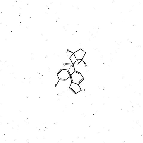 O=C(c1ccc2[nH]ccc2c1)N1[C@@H]2CC[C@H]1C[C@@H](c1ccc(F)cc1)C2